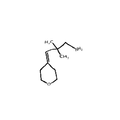 CC(C)(C=C1CCOCC1)CN